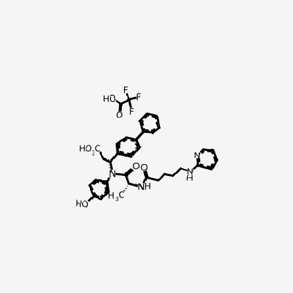 C[C@@H](NC(=O)CCCCNc1ccccn1)C(=O)N(c1ccc(O)cc1)C(CC(=O)O)c1ccc(-c2ccccc2)cc1.O=C(O)C(F)(F)F